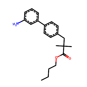 CCCCOC(=O)C(C)(C)Cc1ccc(-c2cccc(N)c2)cc1